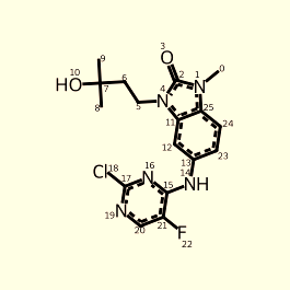 Cn1c(=O)n(CCC(C)(C)O)c2cc(Nc3nc(Cl)ncc3F)ccc21